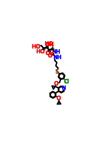 O=C(NCCCCSc1ccc(Cl)c(COC2(c3cnccc3-c3ccccc3OC3CC3)CC2)c1)N[C@@H](CO)[C@@H](O)[C@H](O)[C@H](O)CO